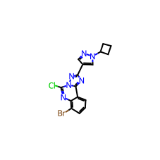 Clc1nc2c(Br)cccc2c2nc(-c3cnn(C4CCC4)c3)nn12